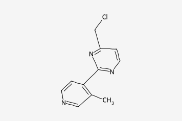 Cc1cnccc1-c1nccc(CCl)n1